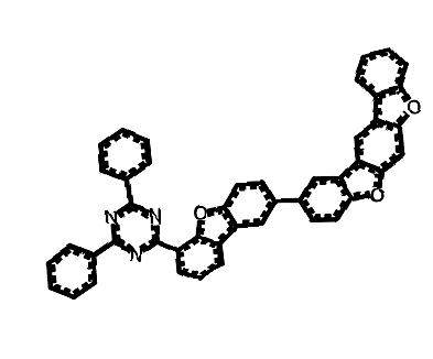 c1ccc(-c2nc(-c3ccccc3)nc(-c3cccc4c3oc3ccc(-c5ccc6oc7cc8oc9ccccc9c8cc7c6c5)cc34)n2)cc1